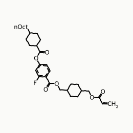 C=CC(=O)OCC1CCC(COC(=O)c2ccc(OC(=O)C3CCC(CCCCCCCC)CC3)cc2F)CC1